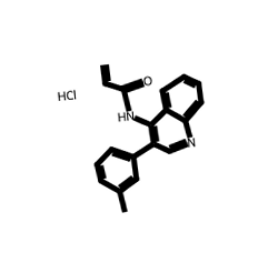 C=CC(=O)Nc1c(-c2cccc(C)c2)cnc2ccccc12.Cl